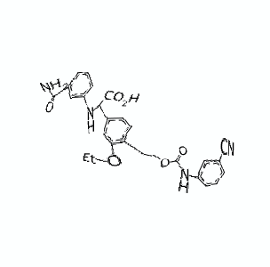 CCOc1cc(C(Nc2cccc(C(N)=O)c2)C(=O)O)ccc1CCOC(=O)Nc1cccc(C#N)c1